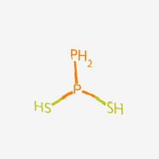 PP(S)S